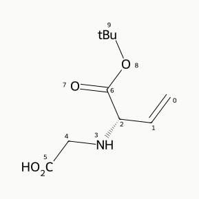 C=C[C@H](NCC(=O)O)C(=O)OC(C)(C)C